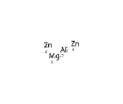 [Al].[Mg].[Zn].[Zn]